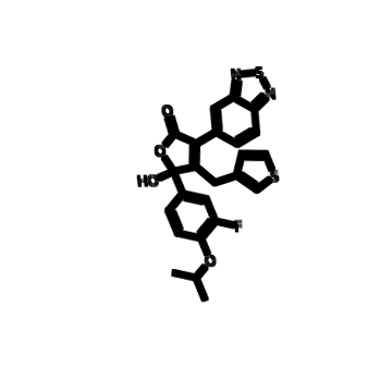 CC(C)Oc1ccc(C2(O)OC(=O)C(c3ccc4nsnc4c3)=C2Cc2ccsc2)cc1F